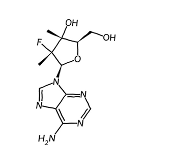 C[C@]1(F)[C@H](n2cnc3c(N)ncnc32)O[C@H](CO)[C@@]1(C)O